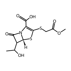 COC(=O)CSC1=C(C(=O)O)N2C(=O)C(C(C)O)[C@H]2S1